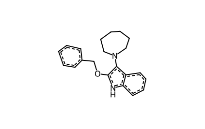 c1ccc(COc2[nH]c3ccccc3c2N2CCCCCC2)cc1